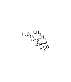 C1CCOC1.CC(C)SC(C)C